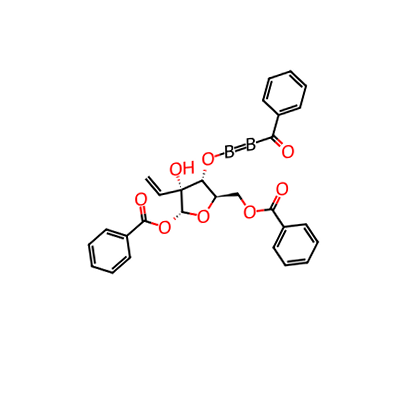 C=C[C@]1(O)[C@@H](OC(=O)c2ccccc2)O[C@H](COC(=O)c2ccccc2)[C@H]1OB=BC(=O)c1ccccc1